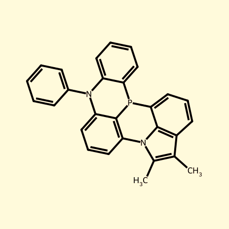 Cc1c(C)n2c3cccc4c3-p(c3ccccc3n4-c3ccccc3)c3cccc1c32